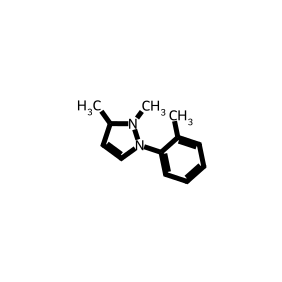 Cc1ccccc1N1C=CC(C)N1C